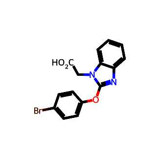 O=C(O)Cn1c(Oc2ccc(Br)cc2)nc2ccccc21